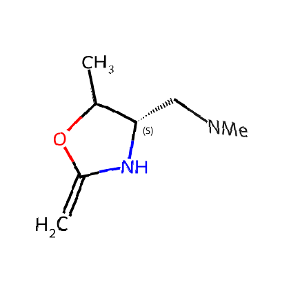 C=C1N[C@@H](CNC)C(C)O1